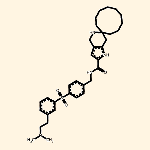 CN(C)CCc1cccc(S(=O)(=O)c2ccc(CNC(=O)c3cc4c([nH]3)CC3(CCCCCCCCC3)NC4)cc2)c1